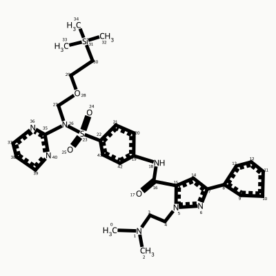 CN(C)CCn1nc(-c2ccccc2)cc1C(=O)Nc1ccc(S(=O)(=O)N(COCC[Si](C)(C)C)c2ncccn2)cc1